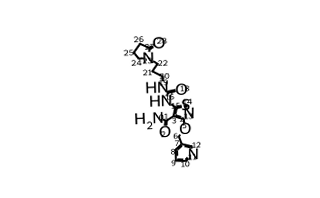 NC(=O)c1c(OCc2cccnc2)nsc1NC(=O)NCCCN1CCCC1=O